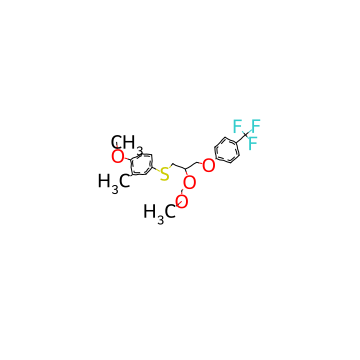 COCOC(COc1ccc(C(F)(F)F)cc1)CSc1ccc(OC)c(C)c1